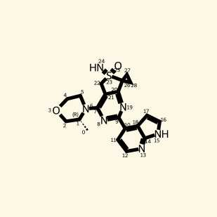 C[C@@H]1COCCN1c1nc(-c2ccnc3[nH]ccc23)nc2c1CS(=N)(=O)C21CC1